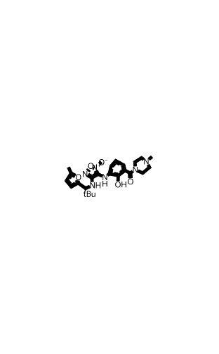 Cc1ccc([C@H](Nc2no[n+]([O-])c2Nc2cccc(C(=O)N3CCN(C)CC3)c2O)C(C)(C)C)o1